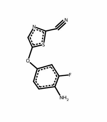 N#Cc1ncc(Oc2ccc(N)c(F)c2)s1